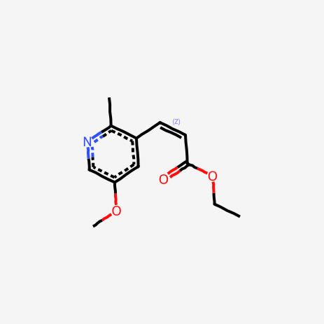 CCOC(=O)/C=C\c1cc(OC)cnc1C